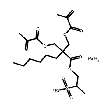 C=C(C)C(=O)OCC(CCCCCC)(COC(=O)C(=C)C)C(=O)OCC(C)S(=O)(=O)O.[MgH2]